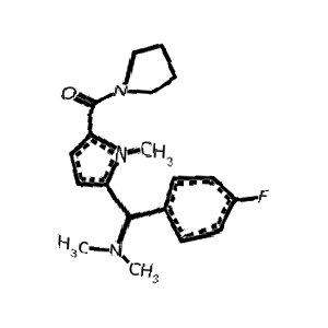 CN(C)C(c1ccc(F)cc1)c1ccc(C(=O)N2CCCC2)n1C